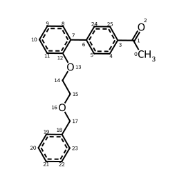 CC(=O)c1ccc(-c2ccccc2OCCOCc2ccccc2)cc1